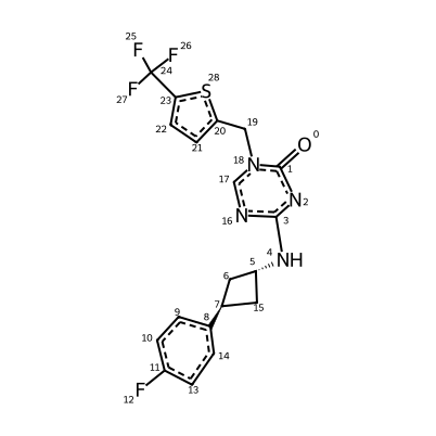 O=c1nc(N[C@H]2C[C@H](c3ccc(F)cc3)C2)ncn1Cc1ccc(C(F)(F)F)s1